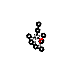 c1ccc(-c2ccc(-c3nc(-c4ccccc4)nc(-n4c5ccccc5c5ccc6c7ccc8c9ccccc9n(-c9ccc(-c%10ccccc%10)cc9)c8c7sc6c54)n3)cc2)cc1